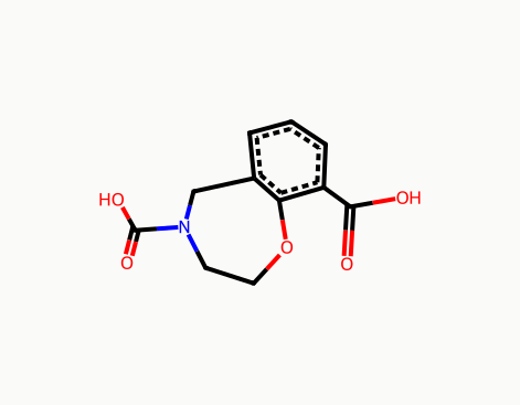 O=C(O)c1cccc2c1OCCN(C(=O)O)C2